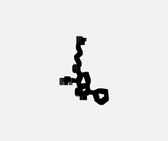 CCCc1c(OCCCCBr)ccc2c(-c3ccccc3)noc12